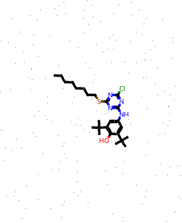 CCCCCCCCSc1nc(Cl)nc(Nc2cc(C(C)(C)C)c(O)c(C(C)(C)C)c2)n1